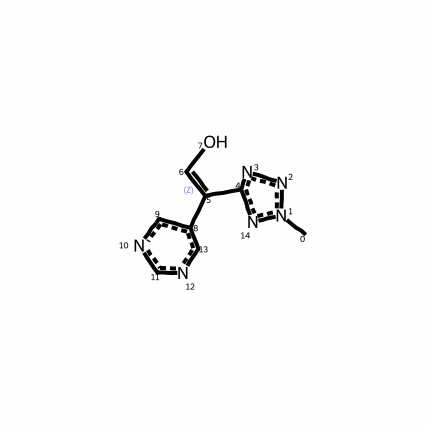 Cn1nnc(/C(=C\O)c2cncnc2)n1